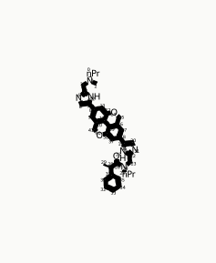 CCCN(C)Cc1ncc(-c2cc3c4c(c2)OCc2cc(-c5cnc(CN(CCC)C(=O)[C@H](C)c6ccccc6)[nH]5)cc(c2-4)OC3)[nH]1